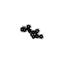 c1c2ccccc2c2c(c#1)c(-c1ccc3c(c1)c1ccccc1n3C1=CC=C3C=CC=C[C@@H]3C1)cc1c3ccccc3n(-c3cccc(-c4ccccc4)c3)c12